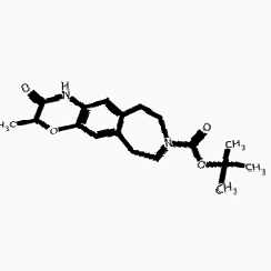 CC1Oc2cc3c(cc2NC1=O)CCN(C(=O)OC(C)(C)C)CC3